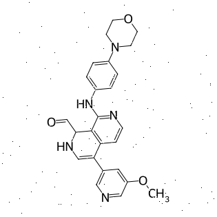 COc1cncc(C2=CNC(C=O)c3c2ccnc3Nc2ccc(N3CCOCC3)cc2)c1